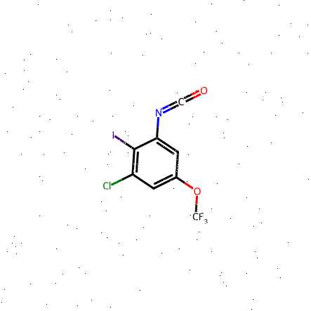 O=C=Nc1cc(OC(F)(F)F)cc(Cl)c1I